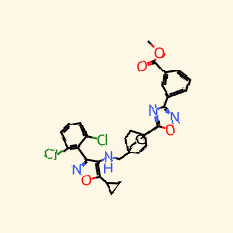 COC(=O)c1cccc(-c2noc(C34CCC(CNc5c(-c6c(Cl)cccc6Cl)noc5C5CC5)(CC3)CC4)n2)c1